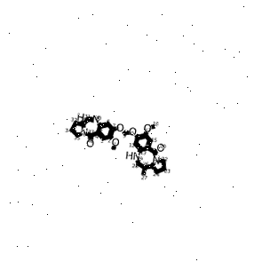 COc1cc2c(cc1OCOc1cc3c(cc1OC)C(=O)N1CCCC1C(C)CN3)N=C[C@@H]1CCCN1C2=O